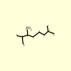 CC(C)CCCC(P)C(C)C